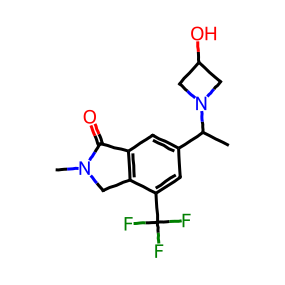 CC(c1cc2c(c(C(F)(F)F)c1)CN(C)C2=O)N1CC(O)C1